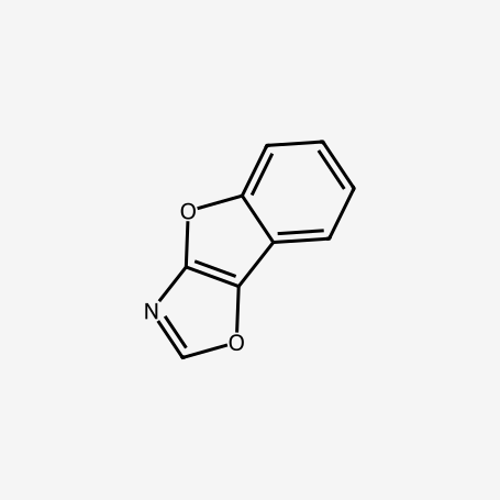 c1ccc2c(c1)oc1ncoc12